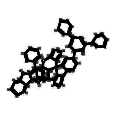 c1ccc(-c2nc(-c3ccccc3)nc(-c3ccc4c(c3)C3(c5ccccc5Oc5ccccc53)c3c(-c5nc(-c6ccccc6)c6oc7ccccc7c6n5)cccc3-4)n2)cc1